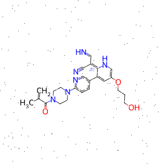 C=C(C)C(=O)N1CCN(c2ccc(C3=CC(OCCCO)=CN/C3=C(/C#N)C=N)cn2)CC1